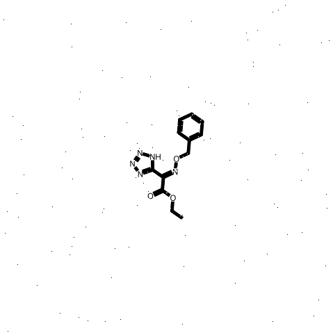 CCOC(=O)/C(=N/OCc1ccccc1)c1nnn[nH]1